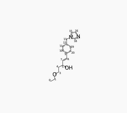 CCOCCC(O)C=Cc1ccc(Cn2ccnc2)cc1